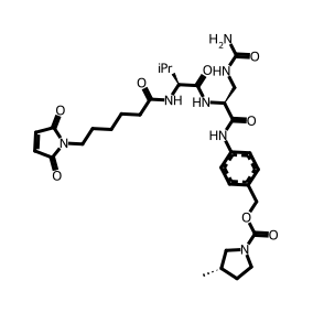 CC(C)[C@H](NC(=O)CCCCCN1C(=O)C=CC1=O)C(=O)N[C@@H](CNC(N)=O)C(=O)Nc1ccc(COC(=O)N2CC[C@H](C)C2)cc1